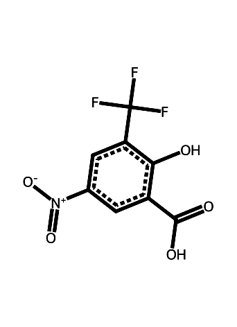 O=C(O)c1cc([N+](=O)[O-])cc(C(F)(F)F)c1O